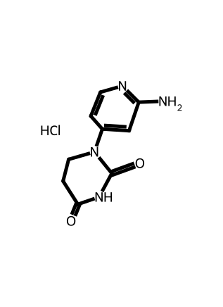 Cl.Nc1cc(N2CCC(=O)NC2=O)ccn1